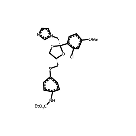 CCOC(=O)Nc1ccc(SC[C@@H]2CO[C@@](Cn3ccnc3)(c3ccc(OC)cc3Cl)O2)cc1